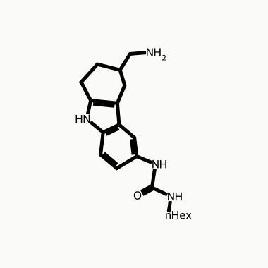 CCCCCCNC(=O)Nc1ccc2[nH]c3c(c2c1)CC(CN)CC3